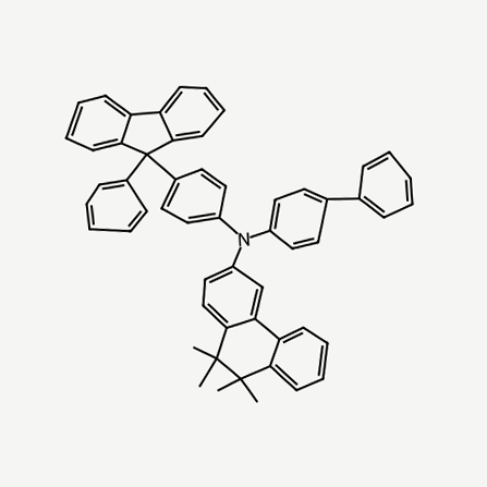 CC1(C)c2ccccc2-c2cc(N(c3ccc(-c4ccccc4)cc3)c3ccc(C4(c5ccccc5)c5ccccc5-c5ccccc54)cc3)ccc2C1(C)C